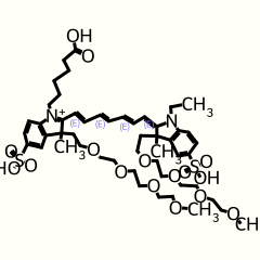 CCN1/C(=C/C=C/C=C/C=C/C2=[N+](CCCCCC(=O)O)c3ccc(S(=O)(=O)O)cc3C2(C)CCOCCOCCOCCOC)C(C)(CCOCCOCCOCCOC)c2cc(S(=O)(=O)O)ccc21